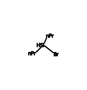 CCC[SiH](Br)CCC